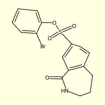 O=C1NCCCc2ccc(S(=O)(=O)Oc3ccccc3Br)cc21